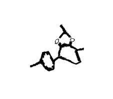 CC1=CC=C(c2ccc(C)cc2)C2OC(C)OC12